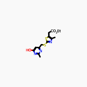 CCOC(=O)Cc1sc(SCc2cc(O)nc(C)n2)nc1C